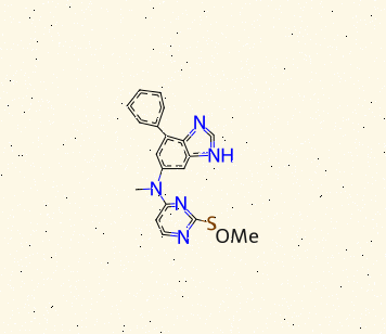 COSc1nccc(N(C)c2cc(-c3ccccc3)c3nc[nH]c3c2)n1